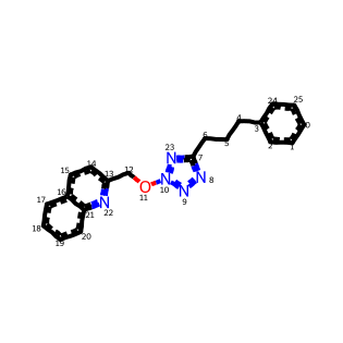 c1ccc(CCCc2nnn(OCc3ccc4ccccc4n3)n2)cc1